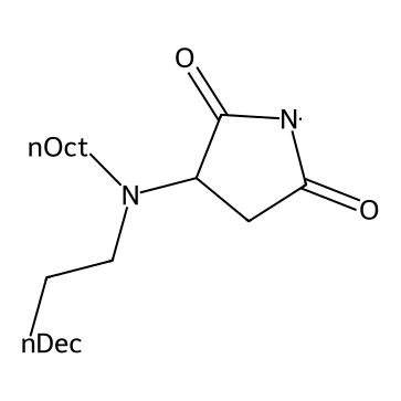 CCCCCCCCCCCCN(CCCCCCCC)C1CC(=O)[N]C1=O